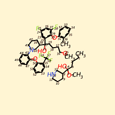 CCCC[C@](O)(OC)C1CCCNC1.COCCCC[C@@](O)(c1cc(F)cc(F)c1Oc1ccccc1C)C1CCCN(c2ccccc2Oc2ccccc2C(F)(F)F)C1